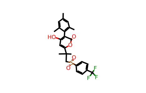 Cc1cc(C)c(-c2c(O)cc(C(C)(C)CS(=O)(=O)c3ccc(C(F)(F)F)cc3)oc2=O)c(C)c1